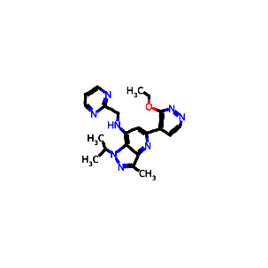 CCOc1nnccc1-c1cc(NCc2ncccn2)c2c(n1)c(C)nn2C(C)C